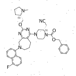 CN1CCC[C@H]1COc1nc2c(c(N3CCN(C(=O)OCc4ccccc4)[C@@H](CC#N)C3)n1)CCCN(c1cccc3c(F)cccc13)C2